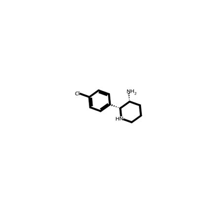 N[C@@H]1CCCN[C@@H]1c1ccc(Cl)cc1